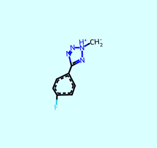 [CH2-][NH+]1N=NC(c2ccc(F)cc2)=N1